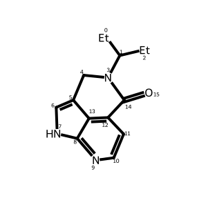 CCC(CC)N1Cc2c[nH]c3nccc(c23)C1=O